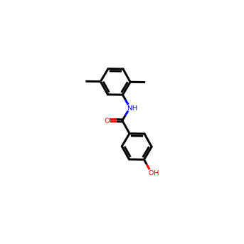 Cc1ccc(C)c(NC(=O)c2ccc(O)cc2)c1